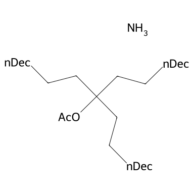 CCCCCCCCCCCCC(CCCCCCCCCCCC)(CCCCCCCCCCCC)OC(C)=O.N